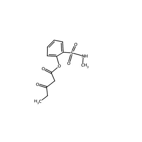 CCC(=O)CC(=O)Oc1ccccc1S(=O)(=O)NC